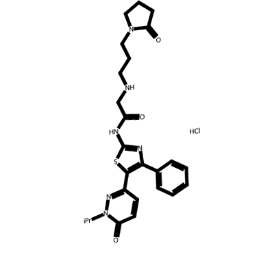 CC(C)n1nc(-c2sc(NC(=O)CNCCCN3CCCC3=O)nc2-c2ccccc2)ccc1=O.Cl